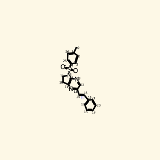 Cc1ccc(S(=O)(=O)N2CCc3nc(/C=C/c4ccccc4)cnc32)cc1